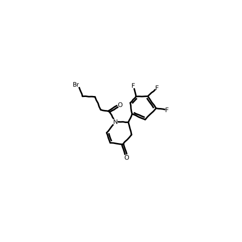 O=C1C=CN(C(=O)CCCBr)C(c2cc(F)c(F)c(F)c2)C1